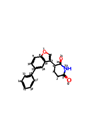 O=C1CCC(c2coc3ccc(-c4ccccc4)cc23)C(=O)N1